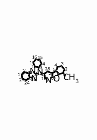 Cc1cccc2c1oc1ncc(-n3c4ccccc4n4c5ccccc5nc34)cc12